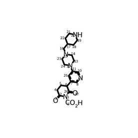 O=C(O)N1C(=O)CCC(c2cncc(N3CCN(CC4CCNCC4)CC3)c2)C1=O